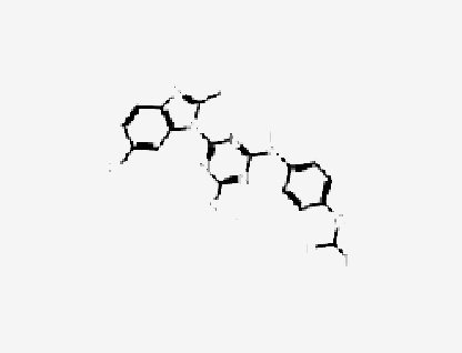 Cc1nc2ccc(Cl)cc2n1-c1nc(N)nc(Nc2ccc(OC(F)F)cc2)n1